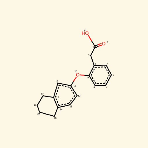 O=C(O)Cc1ccccc1Oc1ccc2c(c1)CCCC2